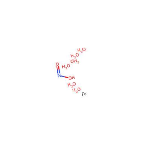 O.O.O.O.O.O.O=NO.[Fe]